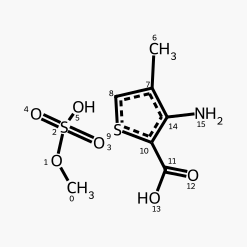 COS(=O)(=O)O.Cc1csc(C(=O)O)c1N